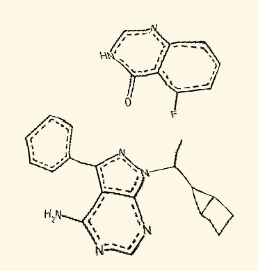 CC(C1C2CCC21)n1nc(-c2ccccc2)c2c(N)ncnc21.O=c1[nH]cnc2cccc(F)c12